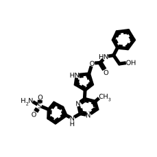 Cc1cnc(Nc2ccc(S(N)(=O)=O)cc2)nc1-c1c[nH]c(OC(=O)NC(CO)c2ccccc2)c1